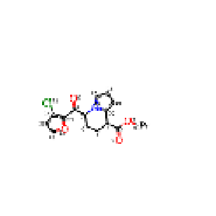 CC(C)OC(=O)C1CCC(C(=O)c2occc2Cl)n2cccc21